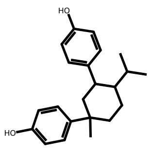 CC(C)C1CCC(C)(c2ccc(O)cc2)CC1c1ccc(O)cc1